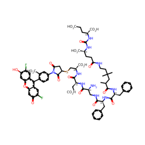 CC(CC(C)(C)CCNC(=O)CC[C@H](NC(=O)N[C@@H](CCC(=O)O)C(=O)O)C(=O)O)C(=O)N[C@@H](Cc1ccccc1)C(=O)N[C@@H](Cc1ccccc1)C(=O)NC[C@H](N)C(=O)N[C@@H](CC(=O)O)C(=O)N[C@@H](CSC1CC(=O)N(c2ccc(-c3c4cc(F)c(=O)cc-4oc4cc(O)c(F)cc34)c(C(=O)O)c2)C1=O)C(=O)O